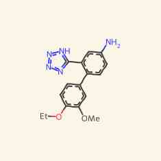 CCOc1ccc(-c2ccc(N)cc2-c2nnn[nH]2)cc1OC